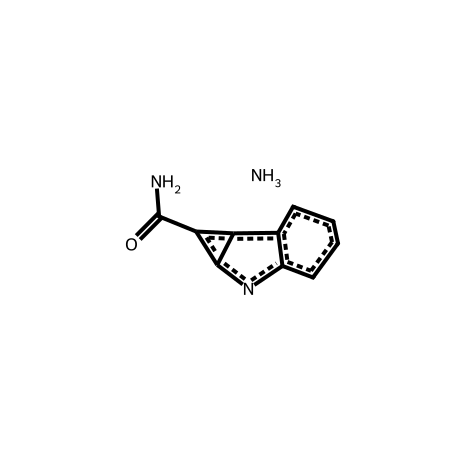 N.NC(=O)c1c2nc3ccccc3c1-2